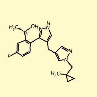 C[C@@H](O)c1cc(F)ccc1-c1n[nH]cc1Cc1cnn(CC2(C)CC2)c1